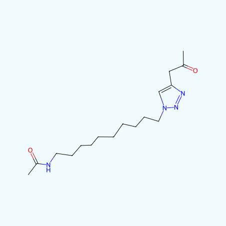 CC(=O)Cc1cn(CCCCCCCCCCNC(C)=O)nn1